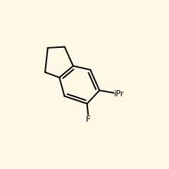 CC(C)c1cc2c(cc1F)CCC2